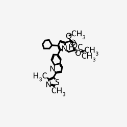 COC(=O)c1cc(C2CCCCC2)c(-c2ccc3nc(-c4sc(C)nc4C)ccc3c2)n1CC(=O)OC(C)(C)C